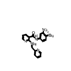 CC(C)(C)c1ccc(NC(=O)c2cccnc2NCc2ccccn2)cc1[N+](=O)[O-]